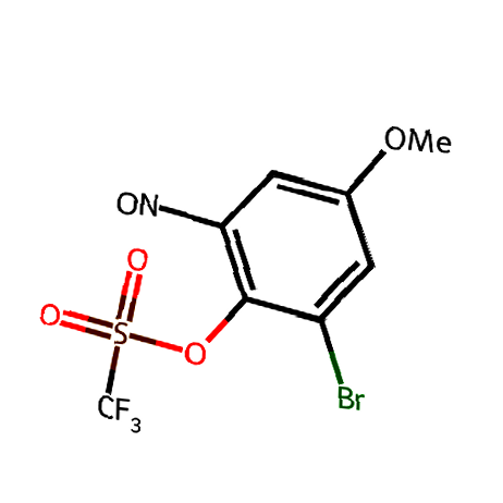 COc1cc(Br)c(OS(=O)(=O)C(F)(F)F)c(N=O)c1